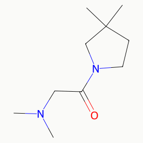 CN(C)CC(=O)N1CCC(C)(C)C1